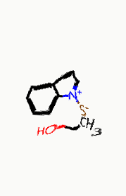 CCO.[S-][n+]1cccc2ccccc21